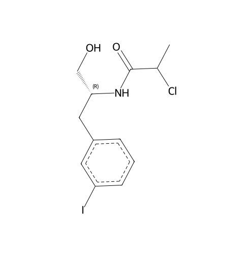 CC(Cl)C(=O)N[C@@H](CO)Cc1cccc(I)c1